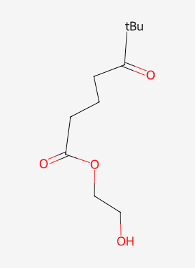 CC(C)(C)C(=O)CCCC(=O)OCCO